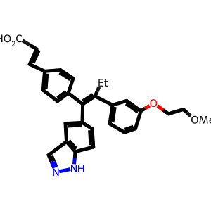 CCC(=C(c1ccc(C=CC(=O)O)cc1)c1ccc2[nH]ncc2c1)c1cccc(OCCOC)c1